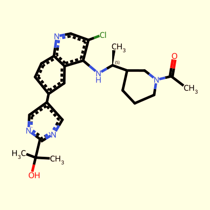 CC(=O)N1CCCC([C@H](C)Nc2c(Cl)cnc3ccc(-c4cnc(C(C)(C)O)nc4)cc23)C1